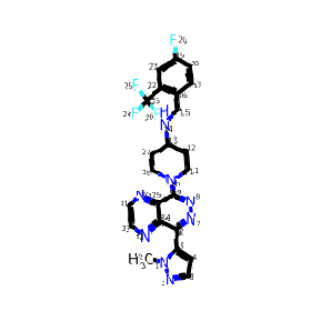 Cn1nccc1-c1nnc(N2CCC(NCc3ccc(F)cc3C(F)(F)F)CC2)c2nccnc12